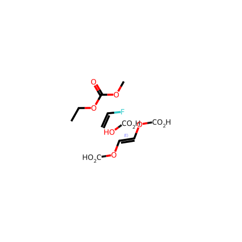 C=CF.CCOC(=O)OC.O=C(O)O.O=C(O)O/C=C/OC(=O)O